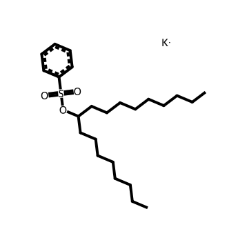 CCCCCCCCCC(CCCCCCCC)OS(=O)(=O)c1ccccc1.[K]